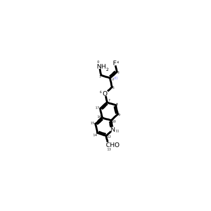 NC/C(=C\F)COc1ccc2nc(C=O)ccc2c1